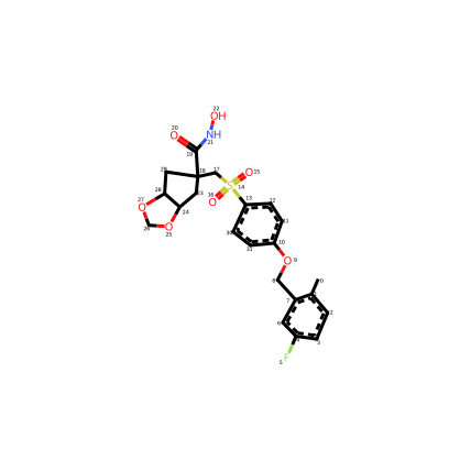 Cc1ccc(F)cc1COc1ccc(S(=O)(=O)CC2(C(=O)NO)CC3OCOC3C2)cc1